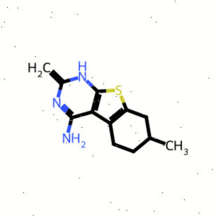 C=C1N=C(N)c2c(sc3c2CCC(C)C3)N1